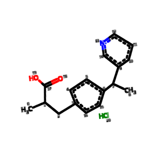 CC(Cc1ccc(C(C)c2cccnc2)cc1)C(=O)O.Cl